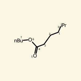 [CH2]C(C)CCCC(=O)OCCCC